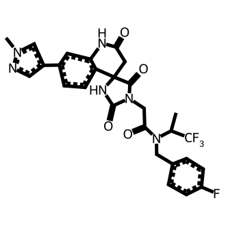 CC(N(Cc1ccc(F)cc1)C(=O)CN1C(=O)NC2(CC(=O)Nc3cc(-c4cnn(C)c4)ccc32)C1=O)C(F)(F)F